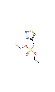 CCOP(=O)(Cc1csnn1)OCC